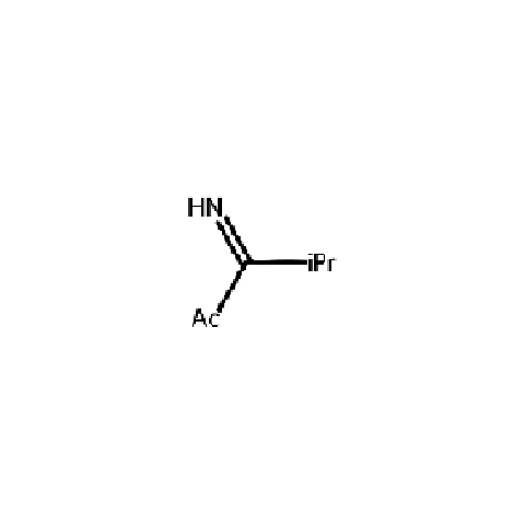 CC(=O)C(=N)C(C)C